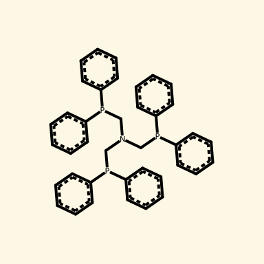 c1ccc(P(CN(CP(c2ccccc2)c2ccccc2)CP(c2ccccc2)c2ccccc2)c2ccccc2)cc1